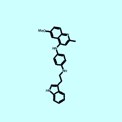 COc1ccc2nc(C)cc(Nc3ccc(NCCc4c[nH]c5ccccc45)cc3)c2c1